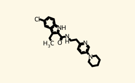 CCc1c(C(=O)NCCc2ccc(N3CCCCC3)cn2)[nH]c2ccc(Cl)cc12